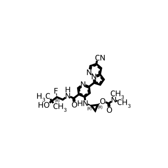 CN(C)C(=O)O[C@@H]1C[C@H]1Nc1cc(-c2ccc3cc(C#N)cnn23)ncc1C(=O)NC[C@@H](F)C(C)(C)O